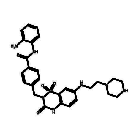 Nc1ccccc1NC(=O)c1ccc(CN2C(=O)Nc3ccc(NCCN4CCNCC4)cc3S2(=O)=O)cc1